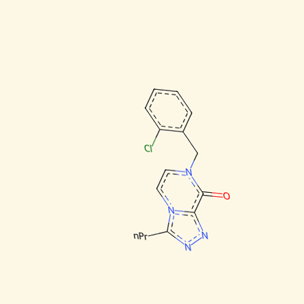 CCCc1nnc2c(=O)n(Cc3ccccc3Cl)ccn12